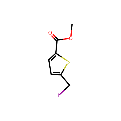 COC(=O)c1ccc(CI)s1